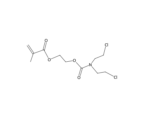 C=C(C)C(=O)OCCOC(=O)N(CCCl)CCCl